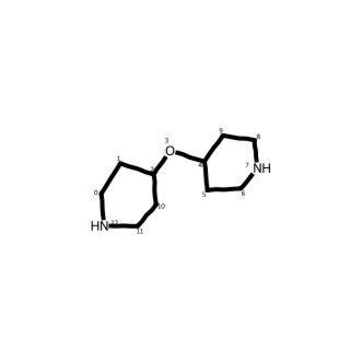 C1CC(OC2CCNCC2)CCN1